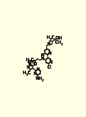 Cc1nn(C)c(O[C@@H](C)CCNc2cc(Cl)ncc2-c2ncc(CN3CC(C(C)(C)O)C3)cc2F)c1-c1nccc(N)n1